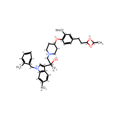 COc1cc(CCC2OC(C)O2)ccc1OC1CCN(CC(O)(c2cn(Cc3ccccc3C)c3cc([N+](=O)[O-])ccc23)C(F)(F)F)CC1